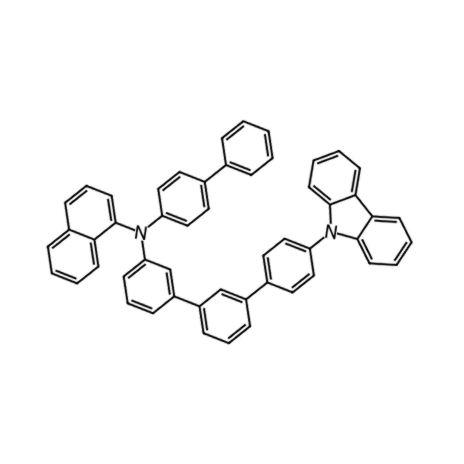 c1ccc(-c2ccc(N(c3cccc(-c4cccc(-c5ccc(-n6c7ccccc7c7ccccc76)cc5)c4)c3)c3cccc4ccccc34)cc2)cc1